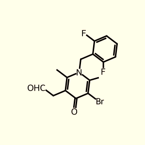 Cc1c(Br)c(=O)c(CC=O)c(C)n1Cc1c(F)cccc1F